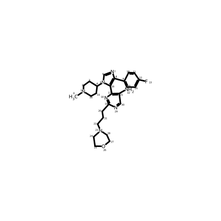 CN1CCC(n2cnc(-c3ccc(F)cc3)c2-c2nc(CCCN3CCOCC3)ncc2N)CC1